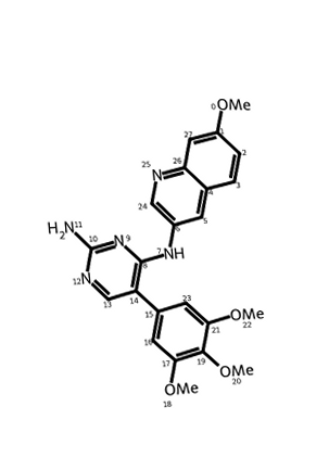 COc1ccc2cc(Nc3nc(N)ncc3-c3cc(OC)c(OC)c(OC)c3)cnc2c1